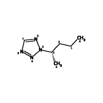 CCC[C@H](C)n1ncnn1